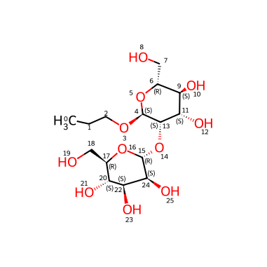 CCCO[C@H]1O[C@H](CO)[C@@H](O)[C@H](O)[C@@H]1O[C@H]1O[C@H](CO)[C@@H](O)[C@H](O)[C@@H]1O